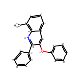 Cc1cccc2cc(Oc3ccccc3)c(-c3ccccc3)nc12